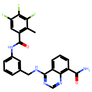 Cc1c(C(=O)Nc2cccc(CNc3ncnc4c(C(N)=O)cccc34)c2)cc(F)c(F)c1F